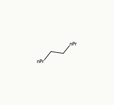 [CH][CH]CCCCC[CH]